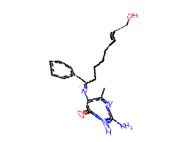 Cc1nc(N)[nH]c(=O)c1/N=C(\CCCCC=CCO)c1ccccc1